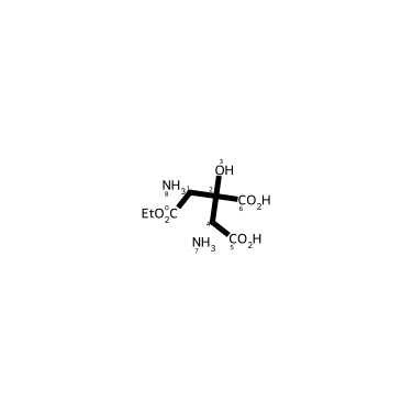 CCOC(=O)CC(O)(CC(=O)O)C(=O)O.N.N